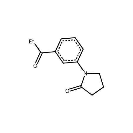 CCC(=O)c1cccc(N2CCCC2=O)c1